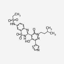 CCS(=O)(=O)Nc1ccc2c(c1)S(=O)(=O)NC(c1c(O)c(-c3cncs3)nn(CCC(C)C)c1=O)=N2